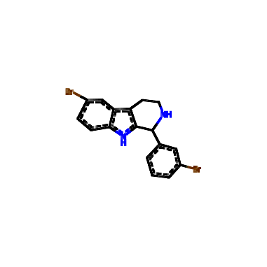 Brc1cccc(C2NCCc3c2[nH]c2ccc(Br)cc32)c1